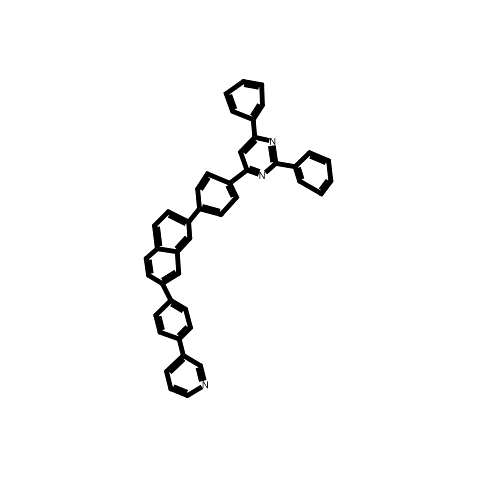 c1ccc(-c2cc(-c3ccc(-c4ccc5ccc(-c6ccc(-c7cccnc7)cc6)cc5c4)cc3)nc(-c3ccccc3)n2)cc1